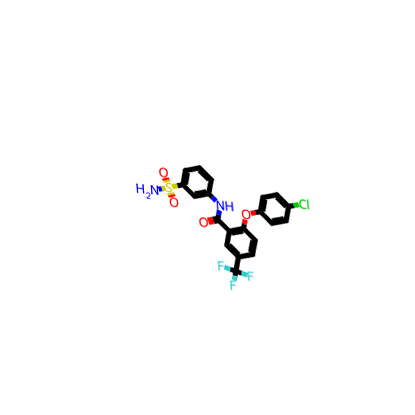 NS(=O)(=O)c1cccc(NC(=O)c2cc(C(F)(F)F)ccc2Oc2ccc(Cl)cc2)c1